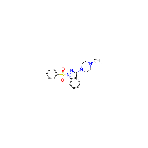 CN1CCN(c2nn(S(=O)(=O)c3ccccc3)c3ccccc23)CC1